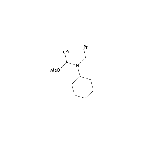 CCCC(OC)N(CC(C)C)C1CCCCC1